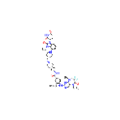 COc1cc(C(=O)NC2CC3(CCN(CC4CCN(c5cccc6c5n(C)c(=O)n6C5CCC(=O)NC5=O)CC4)CC3)C2)ccc1Nc1ncc2c(n1)N(C(C)C)CC(F)(F)C(=O)N2C